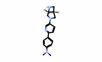 CN(C)c1ccc(-c2ccc(N3C[C@H]4CN[C@H]4C3)cn2)cc1